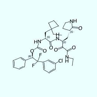 CCNC(=O)C(=O)[C@H](C[C@@H]1CCNC1=O)NC(=O)[C@H](CC1(CC)CCC1)NC(=O)O[C@H](c1ccccc1)C(F)(F)c1cccc(Cl)c1